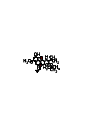 COc1cc(O)c2c3c1C[C@@H]1[C@@H]4CC[C@@H](N[C@H](C(=O)OC(C)(C)C)C(C)C)[C@H](O2)[C@]34CCN1CC1CC1